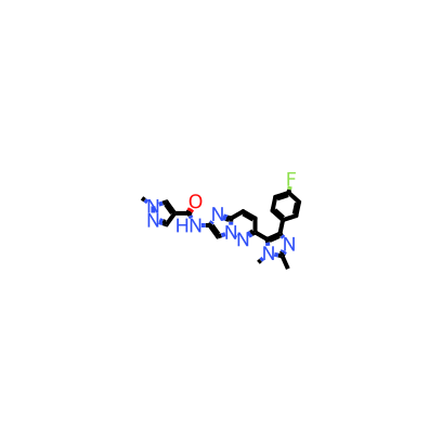 Cc1nc(-c2ccc(F)cc2)c(-c2ccc3nc(NC(=O)c4cnn(C)c4)cn3n2)n1C